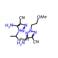 CCCCCC(C)n1nnc(C#N)c1N.COCCn1nc(N)c(C#N)n1